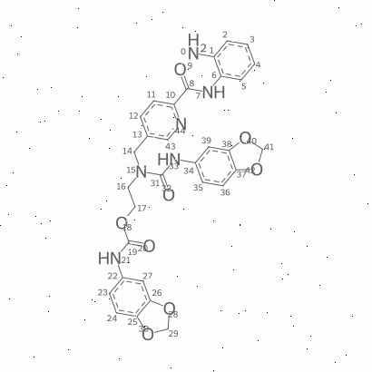 Nc1ccccc1NC(=O)c1ccc(CN(CCOC(=O)Nc2ccc3c(c2)OCO3)C(=O)Nc2ccc3c(c2)OCO3)cn1